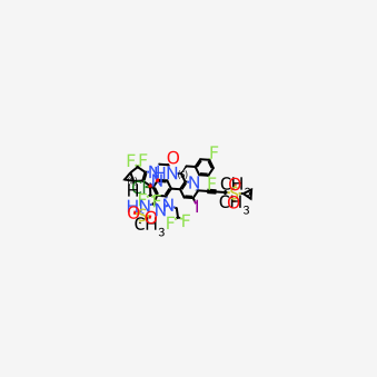 CC(C)(C#Cc1nc([C@H](Cc2cc(F)cc(F)c2)NC(=O)Cn2nc(C(F)F)c3c2C(F)(F)C2C[C@H]32)c(-c2ccc(Cl)c3c(NS(C)(=O)=O)nn(CC(F)F)c23)cc1I)S(=O)(=O)C1CC1